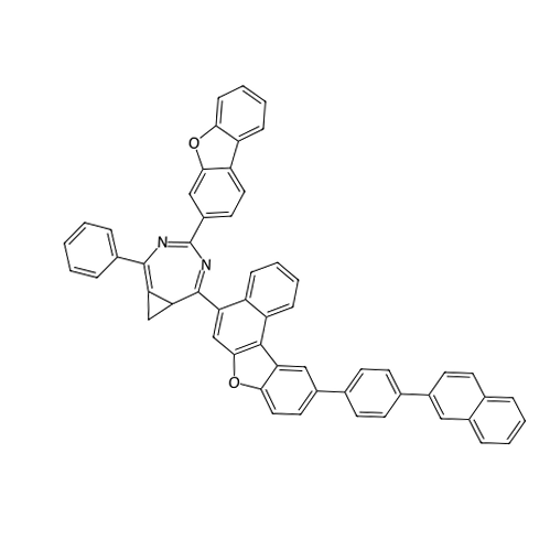 c1ccc(C2=C3CC3C(c3cc4oc5ccc(-c6ccc(-c7ccc8ccccc8c7)cc6)cc5c4c4ccccc34)=NC(c3ccc4c(c3)oc3ccccc34)=N2)cc1